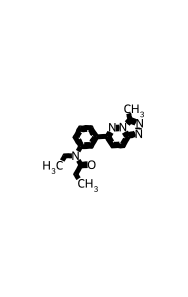 CCC(=O)N(CC)c1cccc(-c2ccc3nnc(C)n3n2)c1